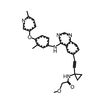 COCC(=O)NC1(C#Cc2ccc3ncnc(Nc4ccc(Oc5ccc(C)nc5)c(C)c4)c3c2)CC1